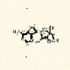 CC[C@]1(CO)O[C@@H](c2csc3c(N)ncnc23)[C@H](F)[C@@H]1O